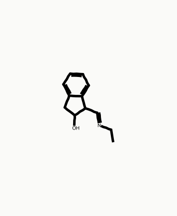 CCN=CC1c2ccccc2CC1O